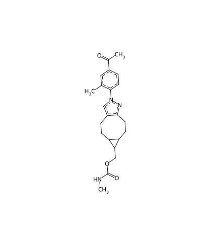 CNC(=O)OCC1C2CCc3cn(-c4ccc(C(C)=O)cc4C)nc3CCC21